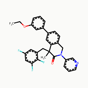 CC1(Cc2cc(F)cc(F)c2F)C(=O)N(c2cccnc2)Cc2ccc(-c3cccc(OCC(F)(F)F)c3)cc21